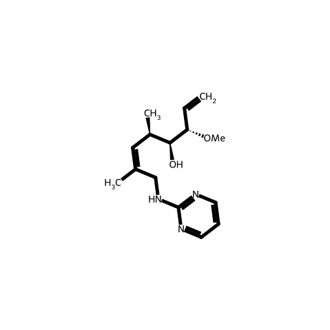 C=C[C@H](OC)[C@@H](O)[C@H](C)/C=C(/C)CNc1ncccn1